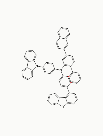 c1ccc(-c2ccc(-c3ccc4ccccc4c3)cc2N(c2ccc(-c3cccc4oc5ccccc5c34)cc2)c2ccc(-n3c4ccccc4c4ccccc43)cc2)cc1